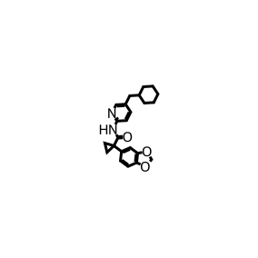 O=C(Nc1ccc(CC2CCCCC2)cn1)C1(c2ccc3c(c2)OCO3)CC1